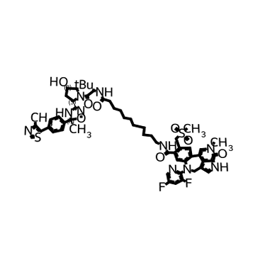 Cc1ncsc1-c1ccc([C@]2(C)NC([C@@H]3C[C@@H](O)CN3C(=O)C(NC(=O)CCCCCCCCCCNC(=O)c3cc4c(cc3CS(C)(=O)=O)-c3cn(C)c(=O)c5[nH]cc(c35)CN4c3ncc(F)cc3F)C(C)(C)C)=NO2)cc1